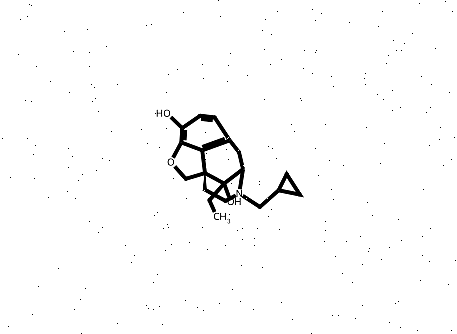 CCC1(O)C2Cc3ccc(O)c4c3[C@@]1(CCN2CC1CC1)CO4